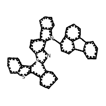 c1ccc2c(c1)-c1cccc3c(-n4c5ccccc5c5ccc6c(nc7c8ccccc8c8sc9ccccc9c8n67)c54)ccc-2c13